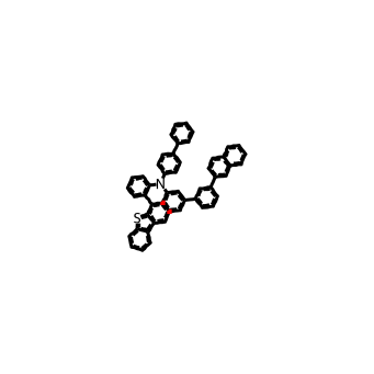 c1ccc(-c2ccc(N(c3cccc(-c4cccc(-c5ccc6ccccc6c5)c4)c3)c3ccccc3-c3cccc4c3sc3ccccc34)cc2)cc1